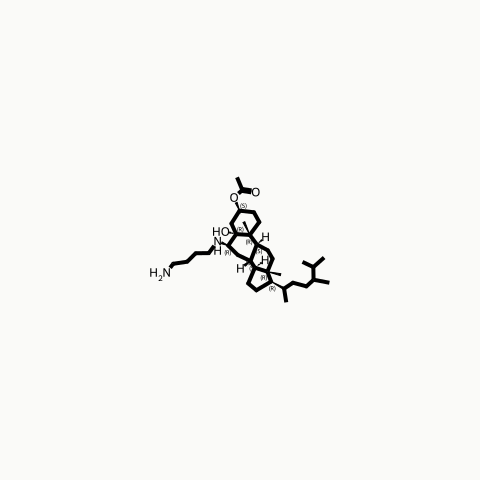 CC(=O)O[C@H]1CC[C@]2(C)[C@H]3CC[C@]4(C)[C@@H](C(C)CCC(C)C(C)C)CC[C@H]4[C@@H]3C[C@@H](NCCCCN)[C@@]2(O)C1